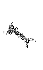 Cc1cc(C#N)nc(N2CCN(S(=O)(=O)c3ccc(NC(=O)c4cc(Cl)nnc4N(C)S(C)(=O)=O)cc3)CC2)n1